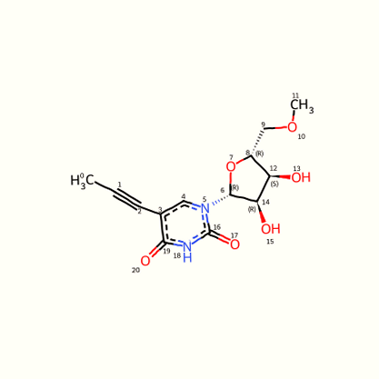 CC#Cc1cn([C@@H]2O[C@H](COC)[C@@H](O)[C@H]2O)c(=O)[nH]c1=O